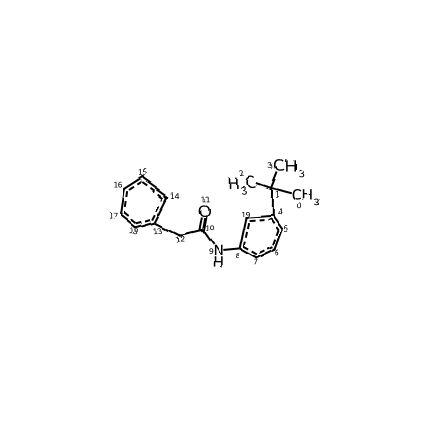 CC(C)(C)c1cccc(NC(=O)Cc2ccccc2)c1